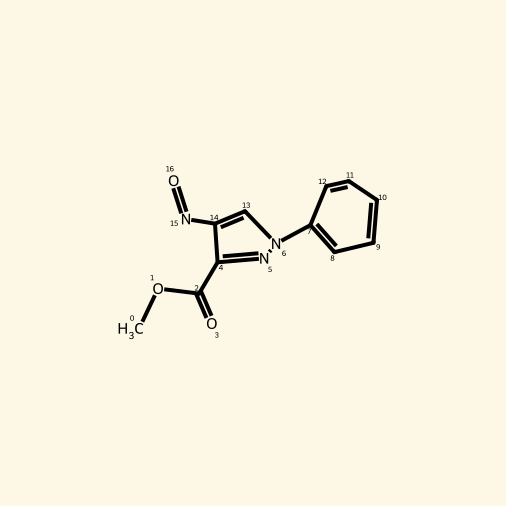 COC(=O)c1nn(-c2ccccc2)cc1N=O